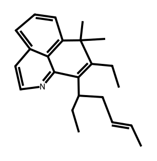 CC=CCC(CC)C1=C(CC)C(C)(C)c2cccc3ccnc1c23